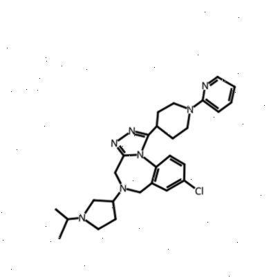 CC(C)N1CCC(N2Cc3cc(Cl)ccc3-n3c(nnc3C3CCN(c4ccccn4)CC3)C2)C1